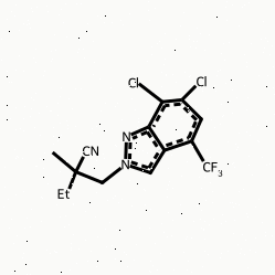 CCC(C)(C#N)Cn1cc2c(C(F)(F)F)cc(Cl)c(Cl)c2n1